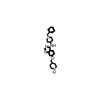 c1ccc(CN2CCC(Nc3ncnc4cc(OCC5CCNCC5)ccc34)CC2)cc1